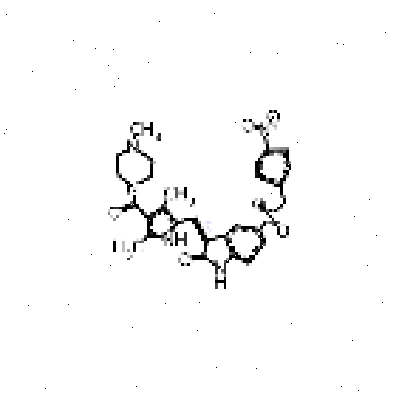 Cc1[nH]c(/C=C2\C(=O)Nc3ccc(S(=O)(=O)Cc4ccc([N+](=O)[O-])cc4)cc32)c(C)c1C(=O)N1CCN(C)CC1